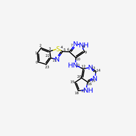 c1ccc2sc(-c3n[nH]cc3Nc3ncnc4[nH]ccc34)nc2c1